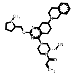 C=CC(=O)N1CCN(c2nc(OCC3CCCN3C)nc3c2CCC(N2CCc4ccccc4C2)C3)C[C@@H]1CC#N